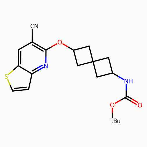 CC(C)(C)OC(=O)NC1CC2(C1)CC(Oc1nc3ccsc3cc1C#N)C2